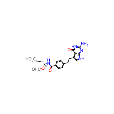 Nc1nc2[nH]cc(CCc3ccc(C(=O)N[C@@H](CCC(=O)O)OC=O)cc3)c2c(=O)[nH]1